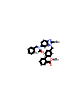 CCCCc1nc2ccc(N(Cc3ccccc3)C(=O)NC)cc2n1Cc1ccc(-c2ccccc2C(=O)OC(C)(C)C)cc1